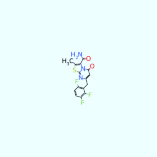 Cc1sc2nc(Cc3c(F)ccc(F)c3F)cc(=O)n2c1C(N)=O